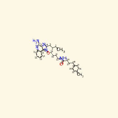 CCCCc1nc2c(N)nc3ccccc3c2n1OCCCCNC(=O)CCCc1ccc(C)cc1